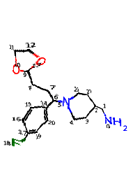 NCC1CCN(C(CCC2OCCO2)c2ccc(F)cc2)CC1